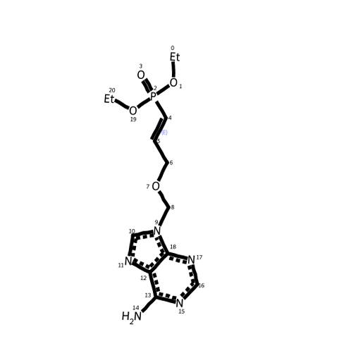 CCOP(=O)(/C=C/COCn1cnc2c(N)ncnc21)OCC